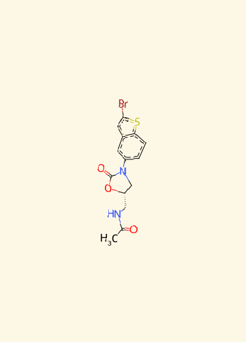 CC(=O)NC[C@H]1CN(c2ccc3sc(Br)cc3c2)C(=O)O1